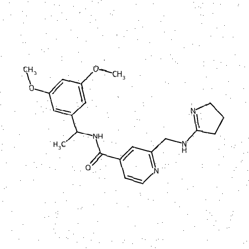 COc1cc(OC)cc(C(C)NC(=O)c2ccnc(CNC3=NCCC3)c2)c1